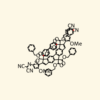 COc1cc(N=C(C#N)C#N)sc1C1=Cc2cc3c(cc2C1(C(=O)OCc1ccccc1)C(=O)OCc1ccccc1)-c1cc2c(cc1C3(C(=O)OCc1ccccc1)C(=O)OCc1ccccc1)C=C(c1sc(N=C(C#N)C#N)cc1OC)C2(C(=O)OCc1ccccc1)C(=O)OCc1ccccc1